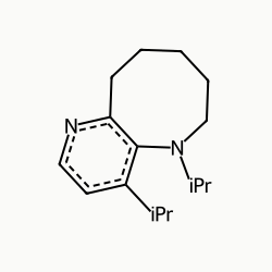 CC(C)c1ccnc2c1N(C(C)C)CCCCC2